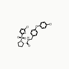 O=C(NCc1ccc(Oc2ccc(Cl)cc2)cc1)[C@@H]1CCCN1S(=O)(=O)c1ccc(Cl)s1